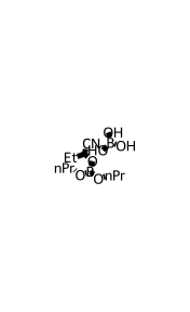 CCCOB(OCCC)OC(C#N)CC.OB(O)O